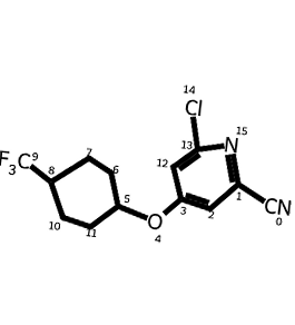 N#Cc1cc(OC2CCC(C(F)(F)F)CC2)cc(Cl)n1